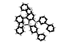 c1ccc(-c2cccc(N3c4cc(-c5ccccc5)ccc4B4c5c3cc3oc6ccccc6c3c5-c3cccc5c6ccccc6n4c35)c2)cc1